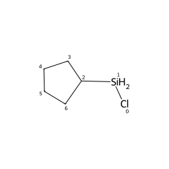 Cl[SiH2]C1CCCC1